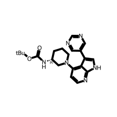 CC(C)(C)OC(=O)N[C@@H]1CCCN(c2ccnc3[nH]cc(-c4cncnc4)c23)C1